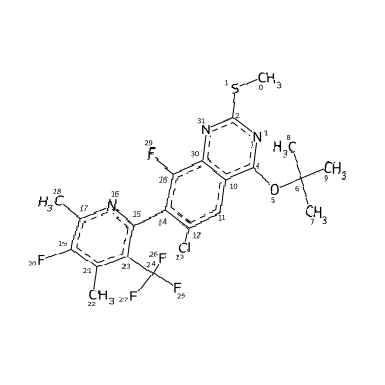 CSc1nc(OC(C)(C)C)c2cc(Cl)c(-c3nc(C)c(F)c(C)c3C(F)(F)F)c(F)c2n1